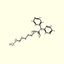 COCCCCCNC(=O)C(c1ccccc1)c1ccccc1